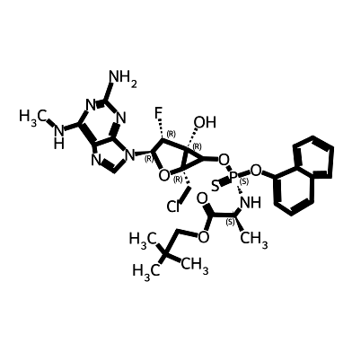 CNc1nc(N)nc2c1ncn2[C@@H]1O[C@]2(CCl)C(O[P@@](=S)(N[C@@H](C)C(=O)OCC(C)(C)C)Oc3cccc4ccccc34)[C@]2(O)[C@H]1F